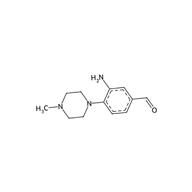 CN1CCN(c2ccc(C=O)cc2N)CC1